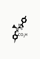 Cc1ccc(-c2csc(N(N=Cc3ccc(F)cc3C(=O)O)C3CC3)n2)cc1